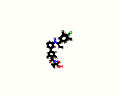 CC[C@@H](Nc1cccc(-c2cc(C)c(C(=O)NC3(C(=O)O)CC3)c(C)c2)c1)c1cc(C)c(Cl)c(C)c1